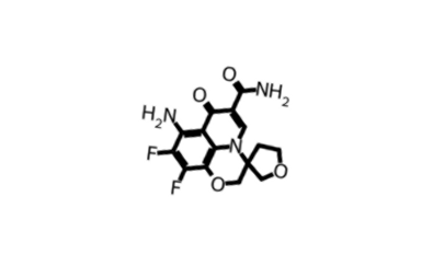 NC(=O)c1cn2c3c(c(F)c(F)c(N)c3c1=O)OCC21CCOC1